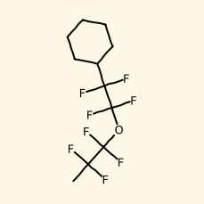 CC(F)(F)C(F)(F)OC(F)(F)C(F)(F)C1CCCCC1